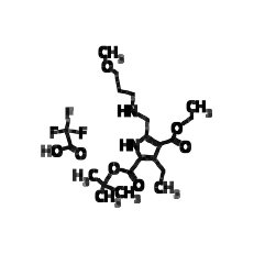 CCOC(=O)c1c(CNCCCOC)[nH]c(C(=O)OC(C)(C)C)c1CC.O=C(O)C(F)(F)F